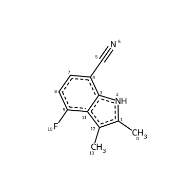 Cc1[nH]c2c(C#N)ccc(F)c2c1C